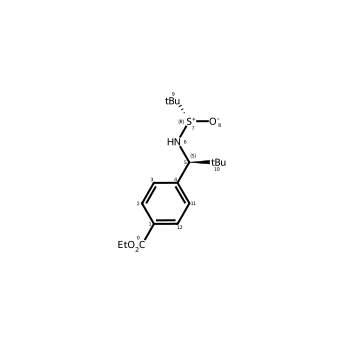 CCOC(=O)c1ccc([C@@H](N[S@@+]([O-])C(C)(C)C)C(C)(C)C)cc1